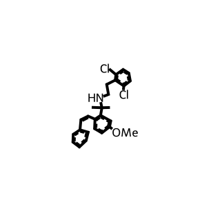 COc1ccc(/C=C\c2ccccc2)c(C(C)(C)NCCc2c(Cl)cccc2Cl)c1